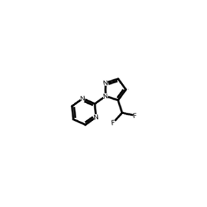 FC(F)c1[c]cnn1-c1ncccn1